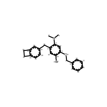 CN(C)c1cc(OCc2ccccc2)c(Br)cc1Cc1ccc2c(c1)CC2